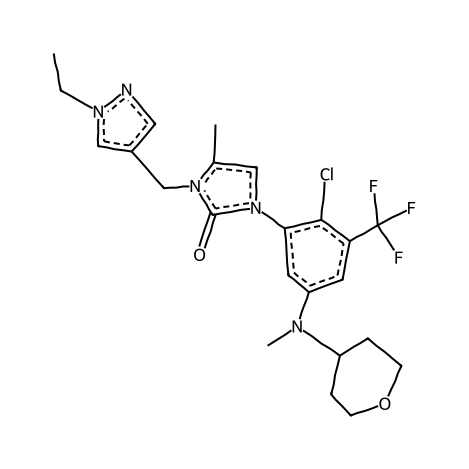 CCn1cc(Cn2c(C)cn(-c3cc(N(C)C4CCOCC4)cc(C(F)(F)F)c3Cl)c2=O)cn1